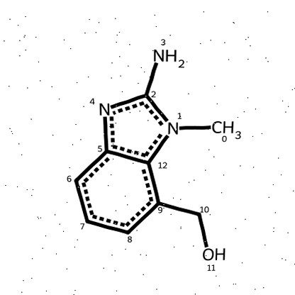 Cn1c(N)nc2cccc(CO)c21